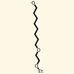 CCOCCOCCCCCCCC[O]